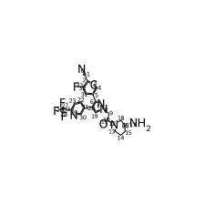 N#Cc1ccc(-c2nn(CC(=O)N3CCC[C@@H](N)C3)cc2-c2ccc(C(F)(F)F)nc2)cc1F